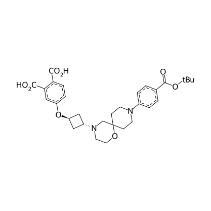 CC(C)(C)OC(=O)c1ccc(N2CCC3(CC2)CN([C@H]2C[C@H](Oc4ccc(C(=O)O)c(C(=O)O)c4)C2)CCO3)cc1